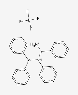 F[B-](F)(F)F.[NH3+]C(c1ccccc1)[C@H](c1ccccc1)P(c1ccccc1)c1ccccc1